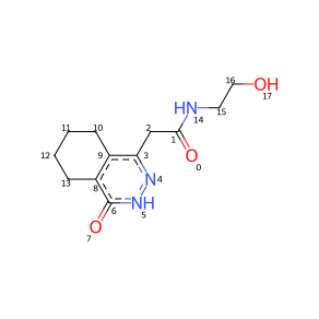 O=C(Cc1n[nH]c(=O)c2c1CCCC2)NCCO